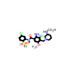 CCS(=O)(=O)c1ccc(Cl)cc1N(C)C(=O)c1cc(OC(F)(F)F)c(CN2CCC[C@H](NC(=O)O)C2)c(Cl)c1N